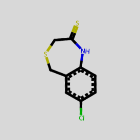 S=C1CSCc2cc(Cl)ccc2N1